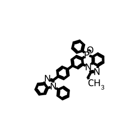 CCc1nc2cccc3c2n1-c1cc(-c2ccc(-c4nc5ccccc5n4-c4ccccc4)cc2)ccc1P3(=O)c1ccccc1